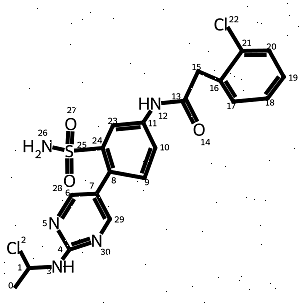 CC(Cl)Nc1ncc(-c2ccc(NC(=O)Cc3ccccc3Cl)cc2S(N)(=O)=O)cn1